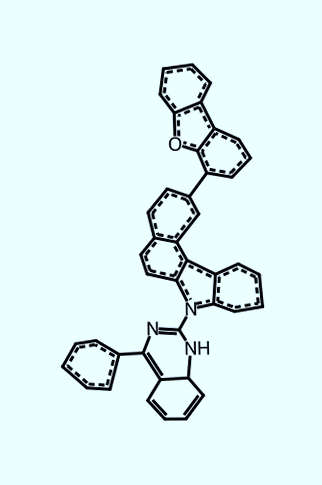 C1=CC2=C(c3ccccc3)N=C(n3c4ccccc4c4c5cc(-c6cccc7c6oc6ccccc67)ccc5ccc43)NC2C=C1